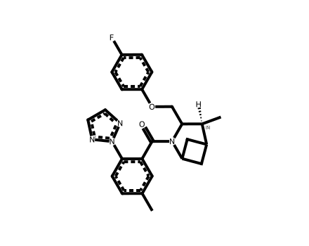 Cc1ccc(-n2nccn2)c(C(=O)N2C3CC(C3)[C@H](C)C2COc2ccc(F)cc2)c1